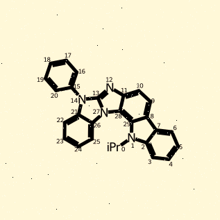 CC(C)n1c2ccccc2c2ccc3nc4n(-c5ccccc5)c5ccccc5n4c3c21